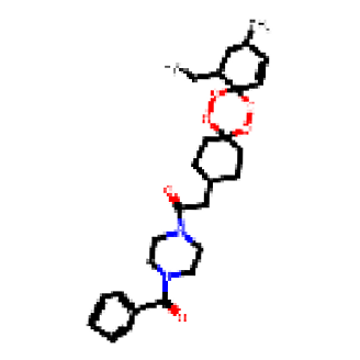 CCC1CC(C)C=CC12OOC1(CCC(CC(=O)N3CCN(C(=O)c4ccccc4)CC3)CC1)OO2